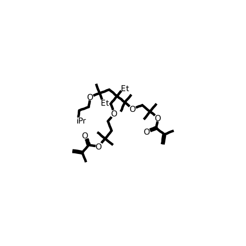 C=C(C)C(=O)OC(C)(C)CCOCC(CC)(CC(C)(CC)OCCC(C)C)C(C)(C)OCC(C)(C)OC(=O)C(=C)C